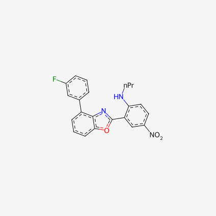 CCCNc1ccc([N+](=O)[O-])cc1-c1nc2c(-c3cccc(F)c3)cccc2o1